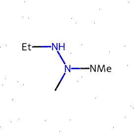 CCNN(C)NC